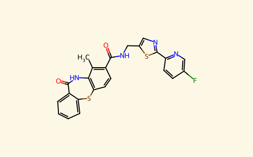 Cc1c(C(=O)NCc2cnc(-c3ccc(F)cn3)s2)ccc2c1NC(=O)c1ccccc1S2